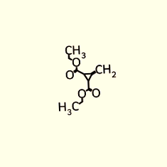 C=C1C(C(=O)OCC)C1C(=O)OCC